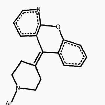 CC(=O)N1CCC(=C2c3ccccc3Oc3ncccc32)CC1